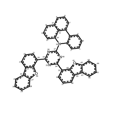 c1ccc2c(c1)-c1cccc3cccc(c13)N2c1nc(-c2cccc3c2oc2ccccc23)nc(-c2cccc3c2oc2ccccc23)n1